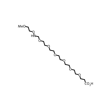 COCCONCOCCOCCOCCOCCOCCOCCC(=O)O